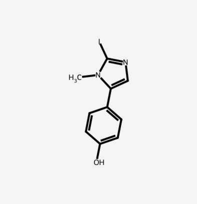 Cn1c(-c2ccc(O)cc2)cnc1I